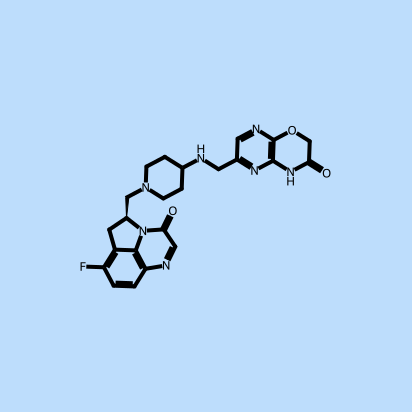 O=C1COc2ncc(CNC3CCN(C[C@@H]4Cc5c(F)ccc6ncc(=O)n4c56)CC3)nc2N1